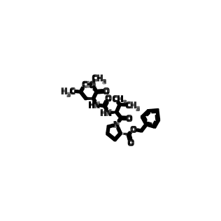 COC(=O)[C@H](CC(C)C)NC(=O)N[C@H](C(=O)N1CCC[C@H]1C(=O)OCc1ccccc1)C(C)C